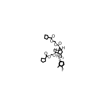 Cc1cc(SC[C@@H]2C[C@H]3[C@H](C(=O)OCOC(=O)C4CCCC4)[C@H]3[C@]2(N)C(=O)OCOC(=O)C2CCCC2)ccc1F